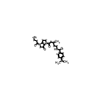 CC(C)CCC(=O)N1CC(=O)C2C1CCN2C(=O)CC(C)CCNC(=O)c1ccc(N(C)C)cc1